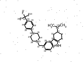 CN(C)C1CCc2[nH]c3ccc(CN4CCN(c5ccc(C(F)(F)F)cc5)CC4)cc3c2C1